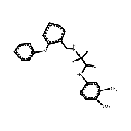 CSc1ccc(NC(=O)C(C)(C)NCc2ccccc2Oc2ccccc2)cc1C(F)(F)F